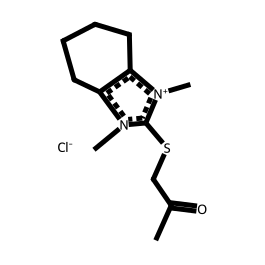 CC(=O)CSc1n(C)c2c([n+]1C)CCCC2.[Cl-]